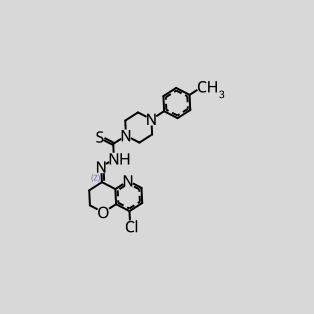 Cc1ccc(N2CCN(C(=S)N/N=C3/CCOc4c(Cl)ccnc43)CC2)cc1